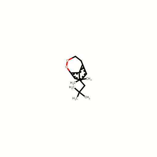 CC(C)(C)CC(C)(C)c1c2cccc1OOCC2